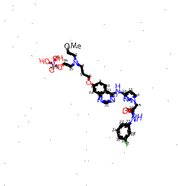 COCCN(CCCOc1ccc2c(Nc3ccn(CC(=O)Nc4cccc(F)c4)n3)ncnc2c1)CCOP(=O)(O)O